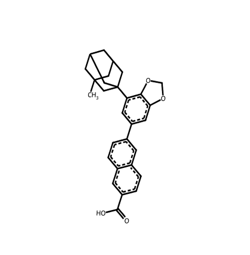 CC12CC3CC(C1)CC(c1cc(-c4ccc5cc(C(=O)O)ccc5c4)cc4c1OCO4)(C3)C2